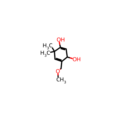 COCC1=CC(C)(C)C(O)=CC1O